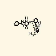 CN1CCC(NC(=O)c2c(Cl)cccc2OCc2cc(=O)n3nc(C4=CCCC=C4)nc3[nH]2)=N1